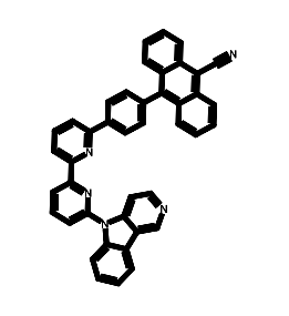 N#Cc1c2ccccc2c(-c2ccc(-c3cccc(-c4cccc(-n5c6ccccc6c6cnccc65)n4)n3)cc2)c2ccccc12